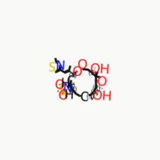 CC(=Cc1csc(C)n1)[C@@H]1C[C@H]2[C@@H](CCC[C@H](C)[C@H](O)[C@@H](C)C(=O)C(C)(C)[C@@H](O)CC(=O)O1)N2S(C)(=O)=O